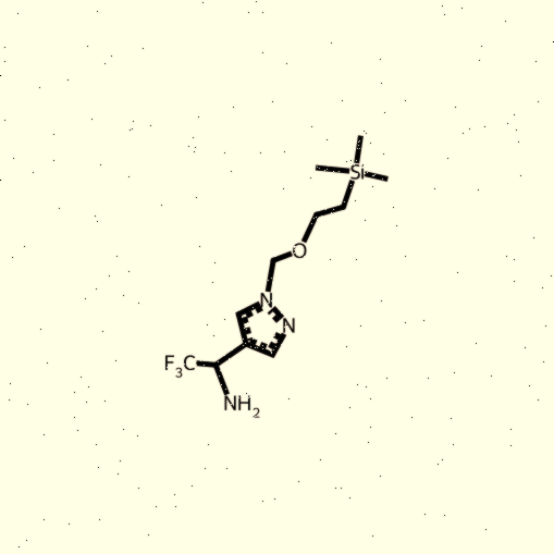 C[Si](C)(C)CCOCn1cc(C(N)C(F)(F)F)cn1